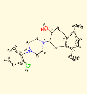 COc1ccc(OC)c2c1CC(O)C(N1CCN(c3ccccc3Cl)CC1)C2